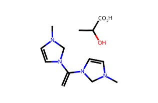 C=C(N1C=CN(C)C1)N1C=CN(C)C1.CC(O)C(=O)O